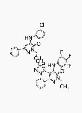 CCn1nc(-c2ccccc2)c(-c2nnc(C)o2)c(Nc2cc(F)c(F)c(F)c2)c1=O.CCn1nc(-c2ccccc2)cc(Nc2cccc(Cl)c2)c1=O